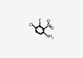 Nc1ccc(Cl)c(F)c1[N+](=O)[O-]